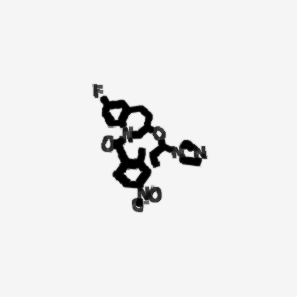 CCC(OC1CCc2cc(F)ccc2N(C(=O)c2ccc([N+](=O)[O-])cc2C)C1)n1ccnc1